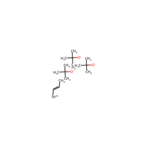 CC(C)(C)[O-].CC(C)(C)[O-].CC(C)(C)[O-].CC=[CH][Sn+3]